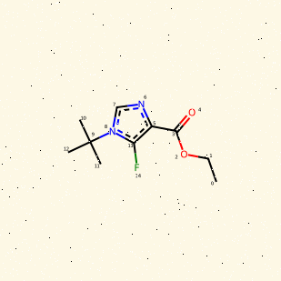 CCOC(=O)c1ncn(C(C)(C)C)c1F